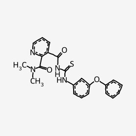 CN(C)C(=O)c1ncccc1C(=O)NC(=S)Nc1cccc(Oc2ccccc2)c1